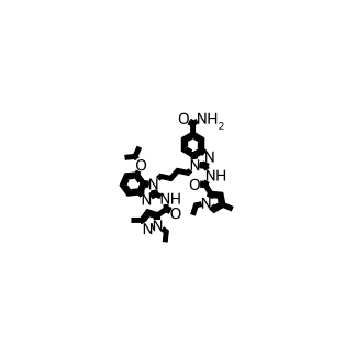 CCn1cc(C)cc1C(=O)Nc1nc2cc(C(N)=O)ccc2n1CCCCn1c(NC(=O)c2cc(C)nn2CC)nc2cccc(OC(C)C)c21